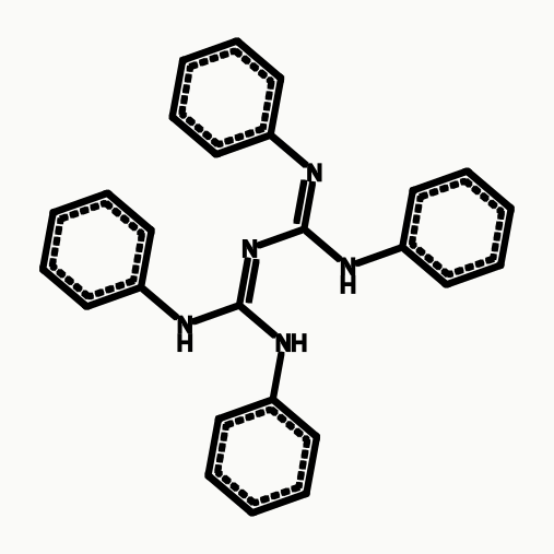 c1ccc(/N=C(\N=C(Nc2ccccc2)Nc2ccccc2)Nc2ccccc2)cc1